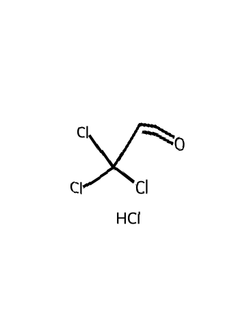 Cl.O=CC(Cl)(Cl)Cl